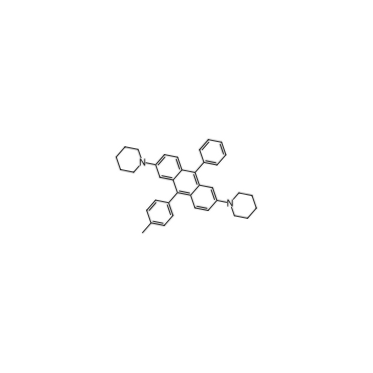 Cc1ccc(-c2c3ccc(N4CCCCC4)cc3c(-c3ccccc3)c3ccc(N4CCCCC4)cc23)cc1